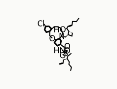 C=CC[C@H](CCCC)C(C)S(=O)(=O)NC(=O)c1ccc2c(c1)N(C[C@@H]1CC[C@H]1[C@@H](O)/C=C/CCC)CCCCc1cc(Cl)ccc1CO2